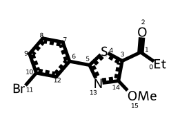 CCC(=O)c1sc(-c2cccc(Br)c2)nc1OC